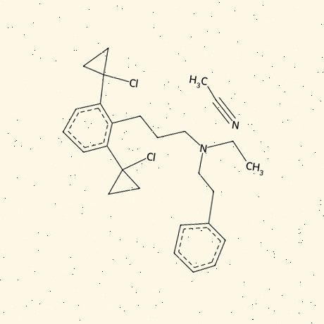 CC#N.CCN(CCCc1c(C2(Cl)CC2)cccc1C1(Cl)CC1)CCc1ccccc1